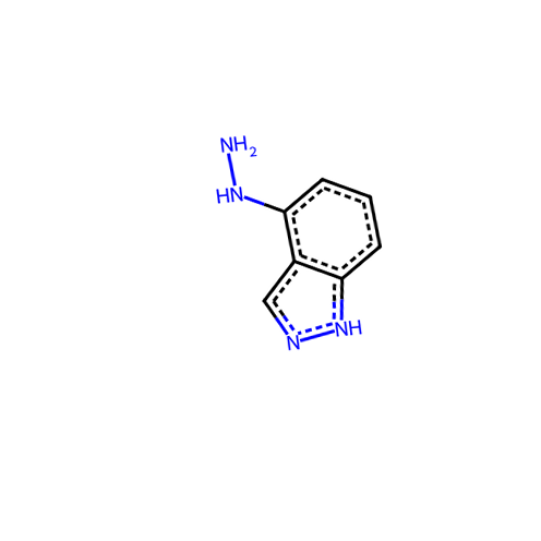 NNc1cccc2[nH]ncc12